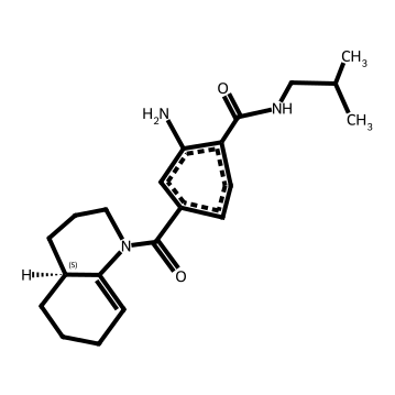 CC(C)CNC(=O)c1ccc(C(=O)N2CCC[C@@H]3CCCC=C32)cc1N